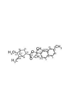 Cc1ccc2ccc(C(C)(C)OC(=O)C3CC4CC3C(C)C4C)cc2c1